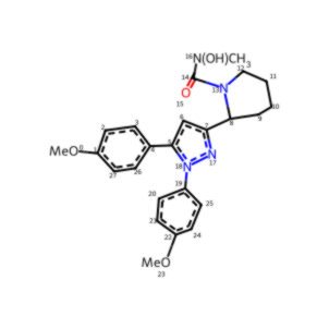 COc1ccc(-c2cc(C3CCCCN3C(=O)N(C)O)nn2-c2ccc(OC)cc2)cc1